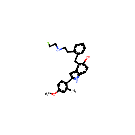 COc1ccc(-c2cc3c(Cc4ccccc4CCNCCF)c(O)ccc3[nH]2)c(C)c1